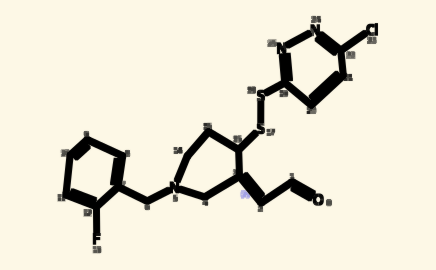 O=C/C=C1/CN(Cc2ccccc2F)CCC1SSc1ccc(Cl)nn1